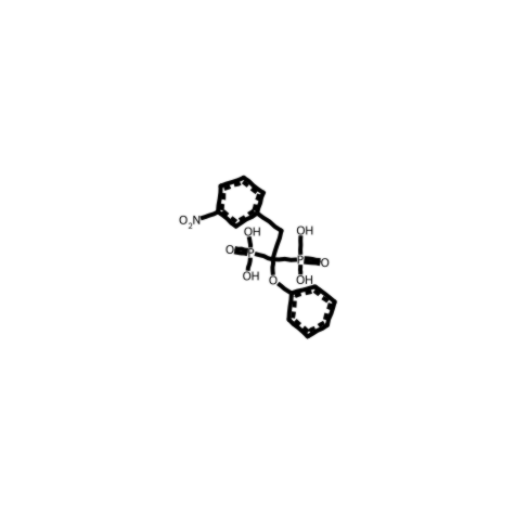 O=[N+]([O-])c1cccc(CC(Oc2ccccc2)(P(=O)(O)O)P(=O)(O)O)c1